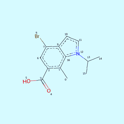 Cc1c(C(=O)O)cc(Br)c2ccn(C(C)C)c12